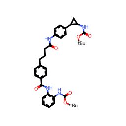 CC(C)(C)OC(=O)Nc1ccccc1NC(=O)c1ccc(CCCC(=O)Nc2ccc(C3CC3NC(=O)OC(C)(C)C)cc2)cc1